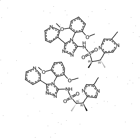 COc1cccc(OC)c1-n1c(NS(=O)(=O)[C@@H](C)[C@H](C)c2cnc(C)cn2)nnc1-c1cccnc1.COc1cccc(OC)c1-n1c(NS(=O)(=O)[C@H](C)[C@@H](C)c2cnc(C)cn2)nnc1-c1cccnc1